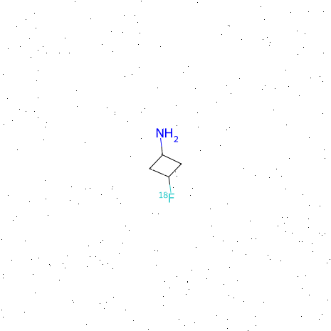 NC1CC([18F])C1